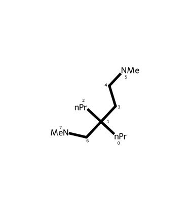 CCCC(CCC)(CCNC)CNC